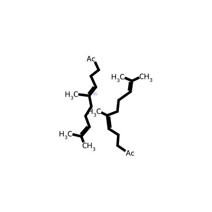 CC(=O)CC/C=C(\C)CCC=C(C)C.CC(=O)CCC=C(C)CCC=C(C)C